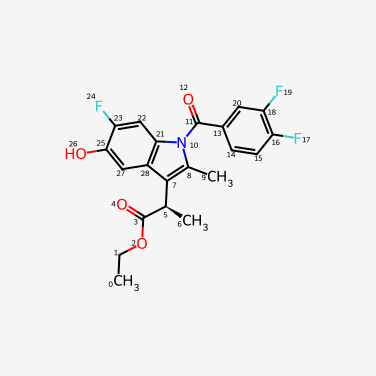 CCOC(=O)[C@H](C)c1c(C)n(C(=O)c2ccc(F)c(F)c2)c2cc(F)c(O)cc12